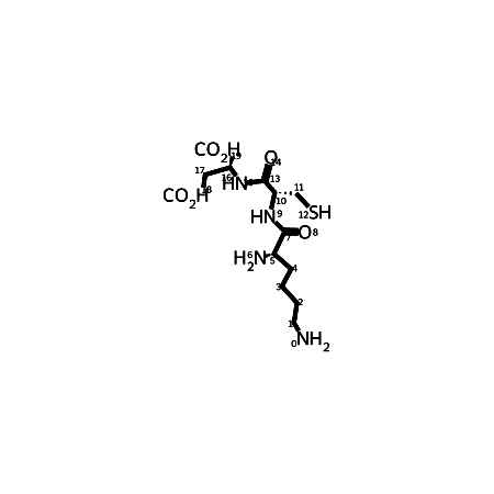 NCCCC[C@H](N)C(=O)N[C@@H](CS)C(=O)N[C@@H](CC(=O)O)C(=O)O